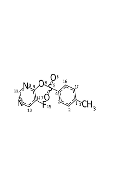 Cc1ccc(S(=O)(=O)Oc2ncncc2F)cc1